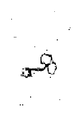 C(=CC12CCCCN1CCCC2)c1ccno1